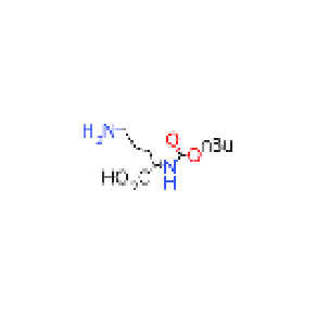 CCCCOC(=O)N[C@@H](CCCN)C(=O)O